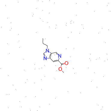 CCCn1cnc2cc(C(=O)OC)ncc21